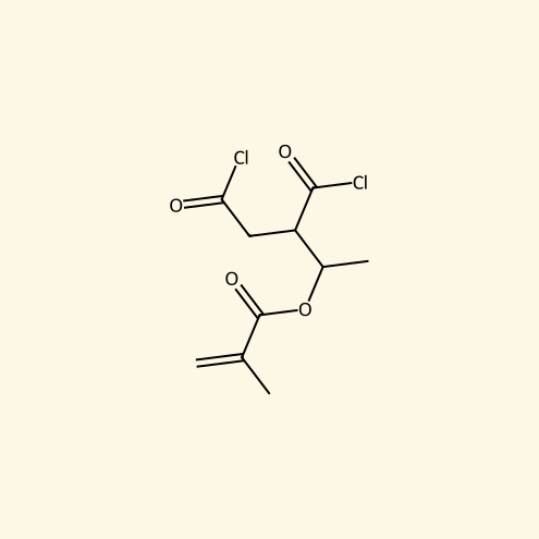 C=C(C)C(=O)OC(C)C(CC(=O)Cl)C(=O)Cl